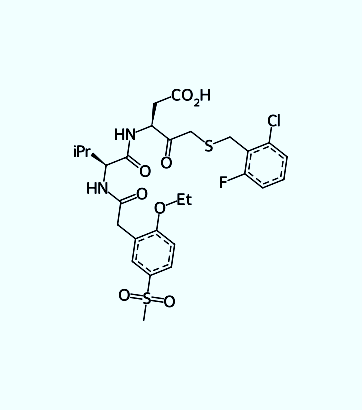 CCOc1ccc(S(C)(=O)=O)cc1CC(=O)N[C@H](C(=O)N[C@@H](CC(=O)O)C(=O)CSCc1c(F)cccc1Cl)C(C)C